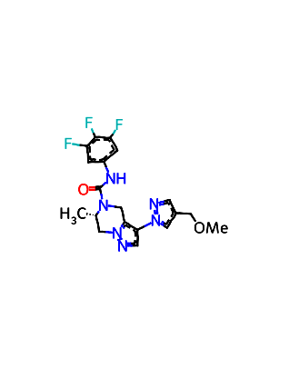 COCc1cnn(-c2cnn3c2CN(C(=O)Nc2cc(F)c(F)c(F)c2)[C@@H](C)C3)c1